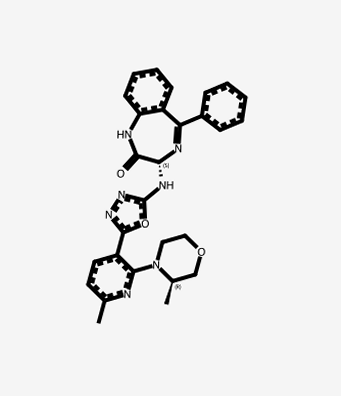 Cc1ccc(-c2nnc(N[C@H]3N=C(c4ccccc4)c4ccccc4NC3=O)o2)c(N2CCOC[C@H]2C)n1